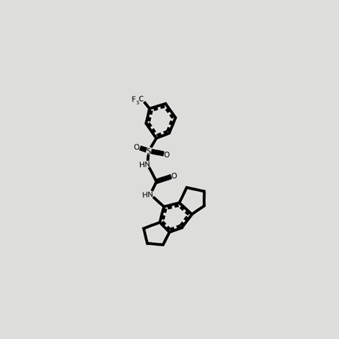 O=C(Nc1c2c(cc3c1CCC3)CCC2)NS(=O)(=O)c1cccc(C(F)(F)F)c1